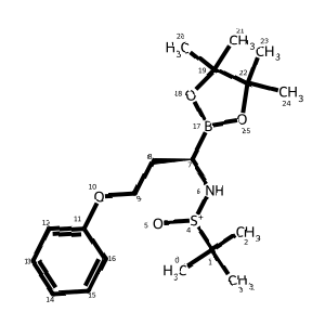 CC(C)(C)[S+]([O-])N[C@@H](CCOc1ccccc1)B1OC(C)(C)C(C)(C)O1